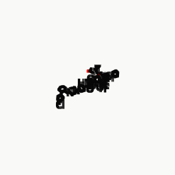 CC(C)CN(CC[C@H](CSc1ccccc1)Nc1ccc(S(=O)(=O)NC(=O)c2ccc(N3CCN(CC4=C(c5ccc(Cl)cc5)CCCC4)CC3)cc2)cc1S(=O)(=O)C(F)(F)F)C1CC1